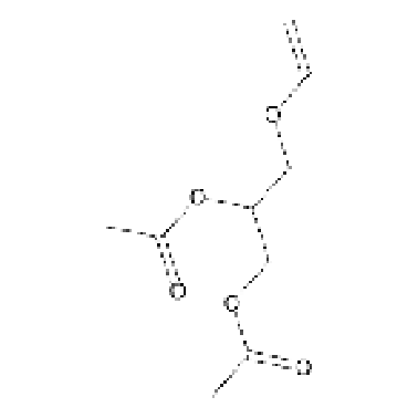 C=COCC(COC(C)=O)OC(C)=O